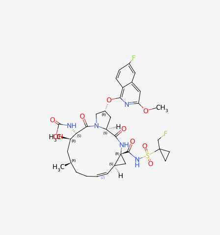 COc1cc2cc(F)ccc2c(O[C@@H]2C[C@H]3C(=O)N[C@]4(C(=O)NS(=O)(=O)C5(CF)CC5)C[C@H]4/C=C\CC[C@@H](C)C[C@@H](C)[C@H](NC(=O)O)C(=O)N3C2)n1